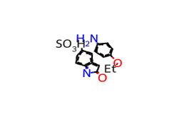 CCOc1ccc(N)cc1.O=C1C=c2cc(S(=O)(=O)O)ccc2=N1